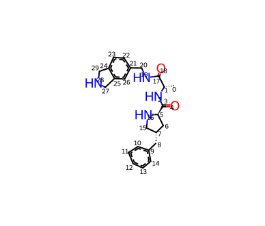 C[C@H](NC(=O)[C@H]1C[C@H](Cc2ccccc2)CN1)C(=O)NCc1ccc2c(c1)CNC2